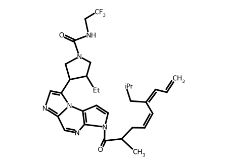 C=C/C=C(\C=C/CC(C)C(=O)n1ccc2c1ncc1ncc(C3CN(C(=O)NCC(F)(F)F)CC3CC)n12)CC(C)C